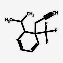 C#CCC1(C(F)(F)F)C=CC=[C]C1C(C)C